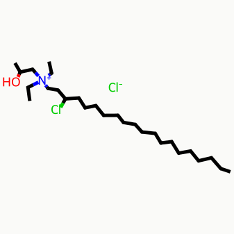 CCCCCCCCCCCCCCCCCC(Cl)CC[N+](CC)(CC)CC(C)O.[Cl-]